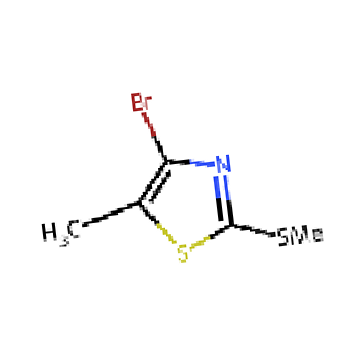 CSc1nc(Br)c(C)s1